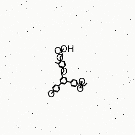 CCS(=O)(=O)c1ccc(-c2cc(COc3ccc(OCC(=O)O)c(C)c3)cc(-c3ccc(OC)cc3)c2)cc1